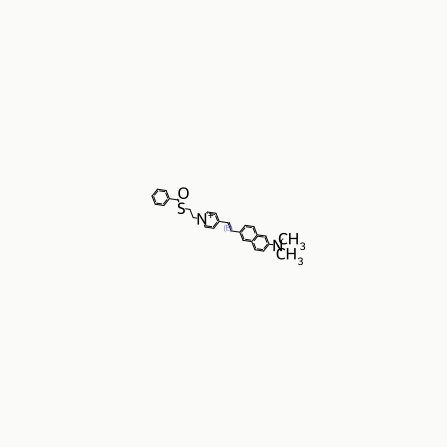 CN(C)c1ccc2cc(/C=C/c3cc[n+](CCSC(=O)c4ccccc4)cc3)ccc2c1